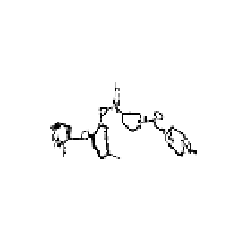 Cc1ccc(OCc2cccnc2F)c(C2CC2NC2CCN(C(=O)CN3CCN(C)CC3)CC2)c1